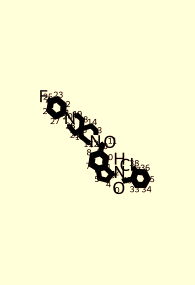 O=C(NC1CCc2ccc(C(=O)N3CCC4(CC3)CCN(c3ccc(F)cc3)CC4)cc21)c1ccccc1Cl